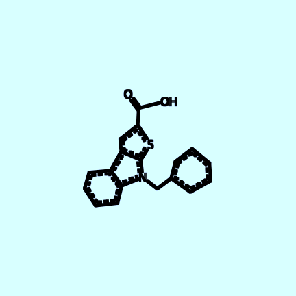 O=C(O)c1cc2c3ccccc3n(Cc3ccccc3)c2s1